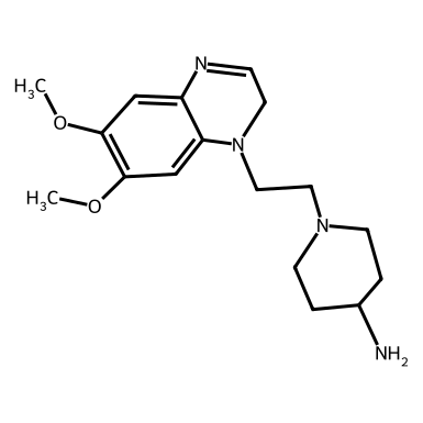 COc1cc2c(cc1OC)N(CCN1CCC(N)CC1)CC=N2